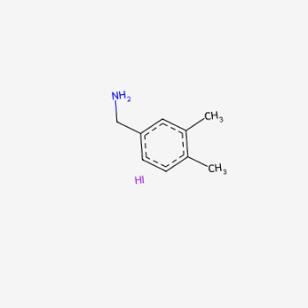 Cc1ccc(CN)cc1C.I